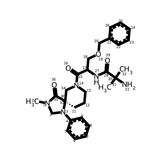 CN1CN(c2ccccc2)[C@@]2(CCCN(C(=O)C(COCc3ccccc3)NC(=O)C(C)(C)N)C2)C1=O